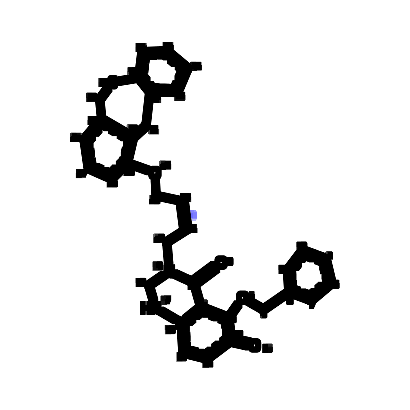 O=C1c2c(OCc3ccccc3)c(=O)ccn2NCN1C/C=C\COc1cccc2c1Cc1ccccc1SC2